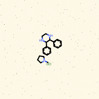 CN1CCCC1.Cl.c1ccc(C2NCCNC2c2ccccc2)cc1